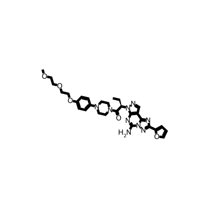 CC[C@H](C(=O)N1CCN(c2ccc(OCCOCCOC)cc2)CC1)n1ncc2c1nc(N)n1nc(-c3ccco3)nc21